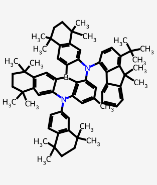 Cc1cc2c3c(c1)N(c1ccc(C(C)(C)C)c4c1-c1ccccc1C4(C)C)c1cc4c(cc1B3c1cc3c(cc1N2c1ccc2c(c1)C(C)(C)CCC2(C)C)C(C)(C)CCC3(C)C)C(C)(C)CCC4(C)C